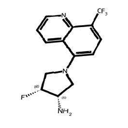 N[C@H]1CN(c2ccc(C(F)(F)F)c3ncccc23)C[C@H]1F